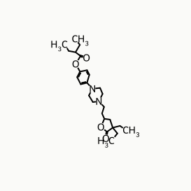 CCC(CC)C(=O)Oc1ccc(N2CCN(CCC3CC(CC)(CC)C(=O)O3)CC2)cc1